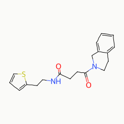 O=C(CCC(=O)N1CCc2ccccc2C1)NCCc1cccs1